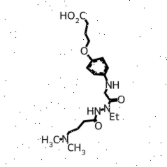 CCN(NC(=O)CCCN(C)C)C(=O)CNc1ccc(OCCCC(=O)O)cc1